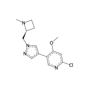 COc1cc(Cl)ncc1-c1cnn(C[C@@H]2CCN2C)c1